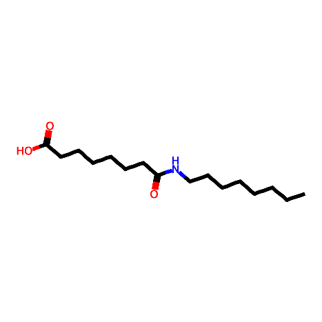 CCCCCCCCNC(=O)CCCCCCC(=O)O